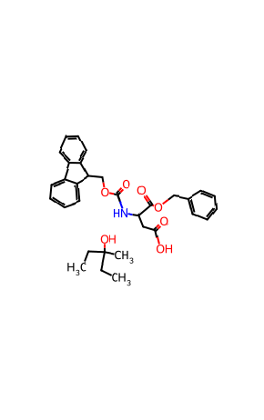 CCC(C)(O)CC.O=C(O)CC(NC(=O)OCC1c2ccccc2-c2ccccc21)C(=O)OCc1ccccc1